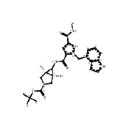 CNC(=O)c1cc(C(=O)NC2[C@H]3CN(C(=O)OC(C)(C)C)C[C@@H]23)n(Cc2cccc3[nH]ccc23)n1